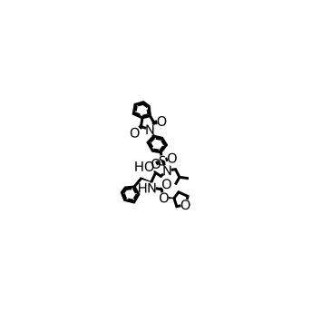 CC(C)CN(C[C@@H](O)[C@H](Cc1ccccc1)NC(=O)O[C@H]1CCOC1)S(=O)(=O)c1ccc(N2C(=O)c3ccccc3C2=O)cc1